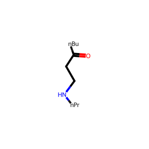 [CH2]CCNCCC(=O)CCCC